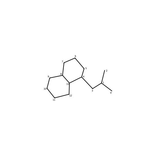 CC(C)CC1CCCC2CCCCC21